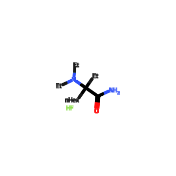 CCCCCCC(CC)(C(N)=O)N(CC)CC.F